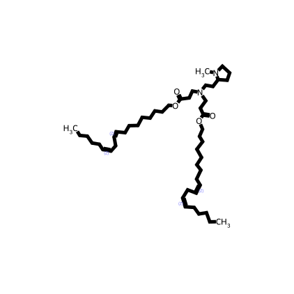 CCCCC/C=C\C/C=C\CCCCCCCCOC(=O)CCN(CCC(=O)OCCCCCCCC/C=C\C/C=C\CCCCC)CCC1CCCN1C